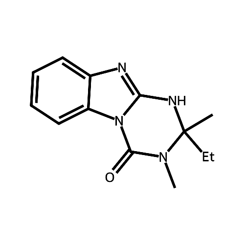 CCC1(C)Nc2nc3ccccc3n2C(=O)N1C